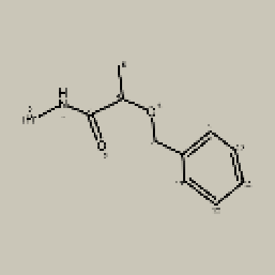 CC(C)NC(=O)C(C)OCc1ccccc1